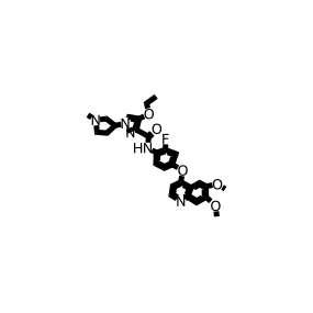 CCOc1cn(C2CCN(C)C2)nc1C(=O)Nc1ccc(Oc2ccnc3cc(OC)c(OC)cc23)cc1F